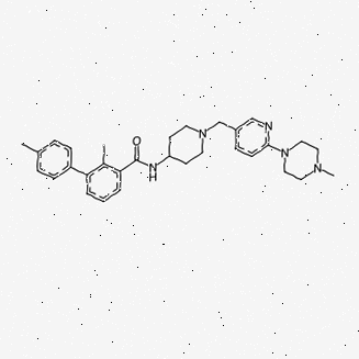 Cc1ccc(-c2cccc(C(=O)NC3CCN(Cc4ccc(N5CCN(C)CC5)nc4)CC3)c2C)cc1